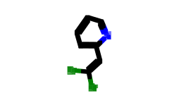 BrC(Br)=Cc1ccccn1